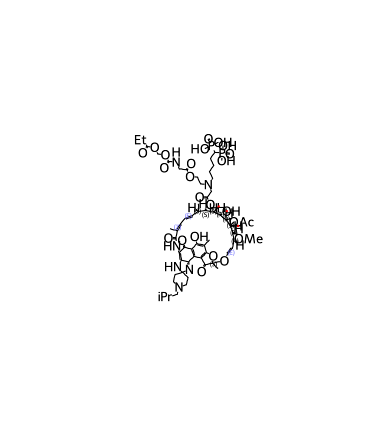 CCC(=O)OCOC(=O)NCC(=O)OCCN(CCCCC(P(=O)(O)O)P(=O)(O)O)CC(=O)O[C@@H]1[C@@H](C)[C@@H](O)[C@@H](C)[C@H](OC(C)=O)[C@H](C)[C@@H](OC)/C=C/O[C@@]2(C)Oc3c(C)c(O)c4c(c3C2=O)C2=NC3(CCN(CC(C)C)CC3)NC2=C(NC(=O)/C(C)=C\C=C\[C@@H]1C)C4=O